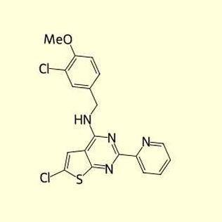 COc1ccc(CNc2nc(-c3ccccn3)nc3sc(Cl)cc23)cc1Cl